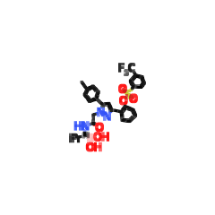 Cc1ccc(-c2cc(-c3ccccc3OS(=O)(=O)c3cccc(C(F)(F)F)c3)nn2CC(=O)N[C@H](B(O)O)C(C)C)cc1